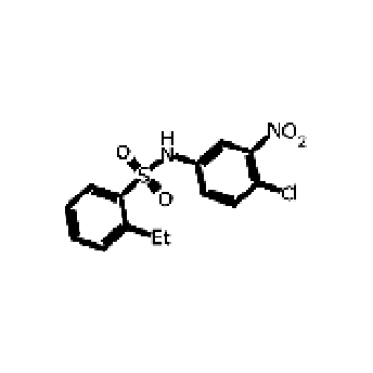 CCc1ccccc1S(=O)(=O)Nc1ccc(Cl)c([N+](=O)[O-])c1